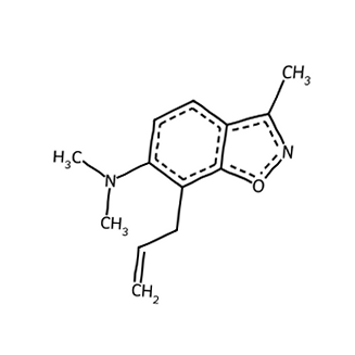 C=CCc1c(N(C)C)ccc2c(C)noc12